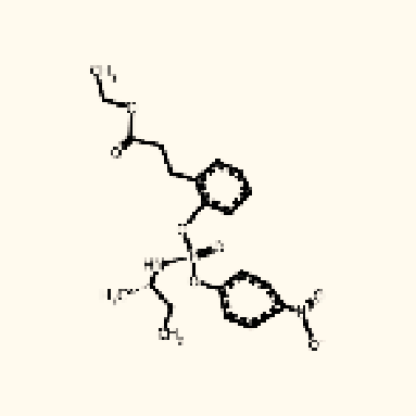 CCOC(=O)CCc1ccccc1O[P@@](=O)(N[C@@H](C)CC)Oc1ccc([N+](=O)[O-])cc1